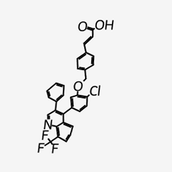 O=C(O)C=Cc1ccc(COc2cc(-c3c(-c4ccccc4)cnc4c(C(F)(F)F)cccc34)ccc2Cl)cc1